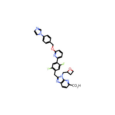 O=C(O)c1ccc2nc(Cc3cc(F)c(-c4cccc(OCc5ccc(-n6ccnc6)cc5)n4)cc3F)n(CC3CCO3)c2n1